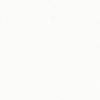 CCCCCCCC1CCc2cc(C(=O)Oc3ccc(C)cc3)ccc2C1